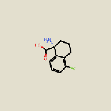 N[C@]1(C(=O)O)CCCc2c(F)cccc21